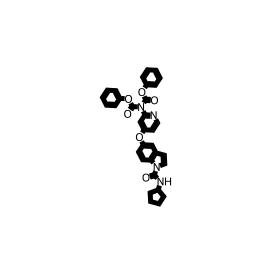 O=C(Oc1ccccc1)N(C(=O)Oc1ccccc1)c1cc(Oc2ccc3c(ccn3C(=O)NC3CCCC3)c2)ccn1